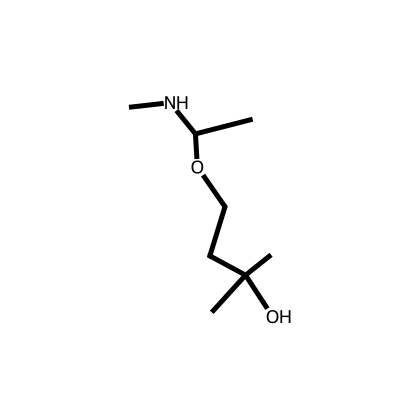 CNC(C)OCCC(C)(C)O